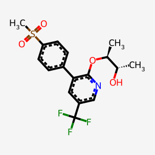 C[C@H](O)[C@H](C)Oc1ncc(C(F)(F)F)cc1-c1ccc(S(C)(=O)=O)cc1